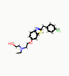 CCN(CCO)CCOc1ccc2nc(Cc3ccc(Cl)cc3)sc2c1